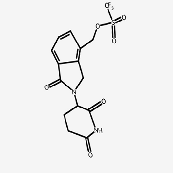 O=C1CCC(N2Cc3c(COS(=O)(=O)C(F)(F)F)cccc3C2=O)C(=O)N1